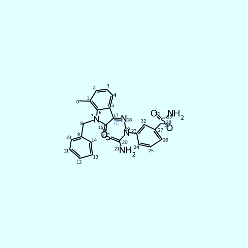 Cc1cccc2c1N(Cc1ccccc1)C(=O)/C2=N\N(C(N)=S)c1cccc(S(N)(=O)=O)c1